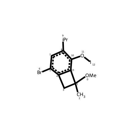 COC1(C)Cc2c(Br)cc(C(C)C)c(OI)c21